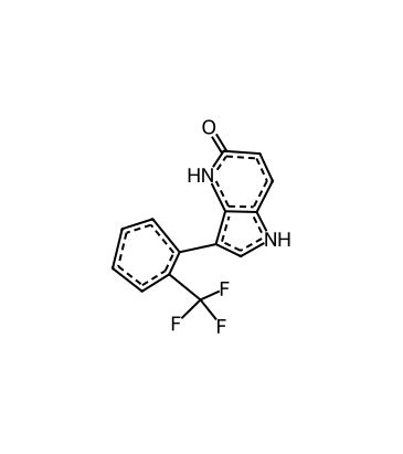 O=c1ccc2[nH]cc(-c3ccccc3C(F)(F)F)c2[nH]1